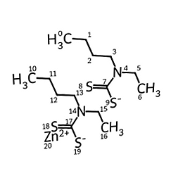 CCCCN(CC)C(=S)[S-].CCCCN(CC)C(=S)[S-].[Zn+2]